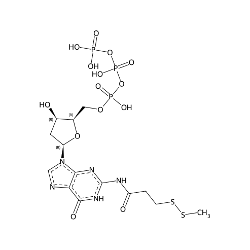 CSSCCC(=O)Nc1nc2c(ncn2[C@H]2C[C@@H](O)[C@@H](COP(=O)(O)OP(=O)(O)OP(=O)(O)O)O2)c(=O)[nH]1